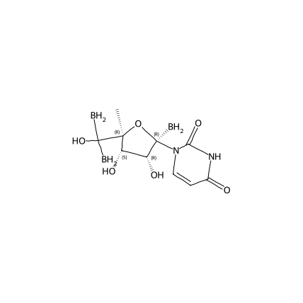 BC(B)(O)[C@@]1(C)O[C@@](B)(n2ccc(=O)[nH]c2=O)[C@H](O)[C@@H]1O